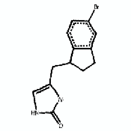 O=C1[N]C(CC2CCc3cc(Br)ccc32)=CN1